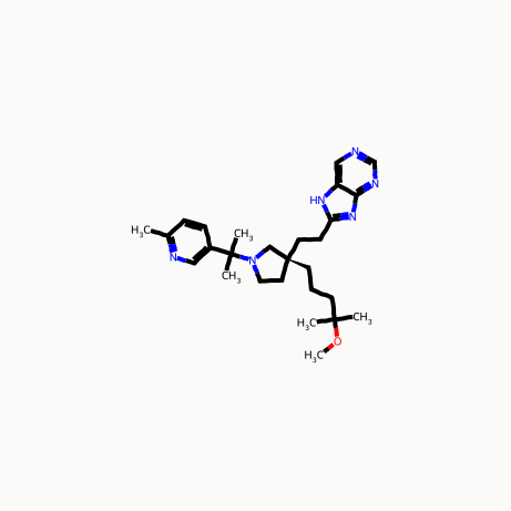 COC(C)(C)CCC[C@@]1(CCc2nc3ncncc3[nH]2)CCN(C(C)(C)c2ccc(C)nc2)C1